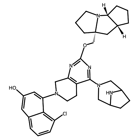 Oc1cc(N2CCc3c(nc(OC[C@]45CCCN4[C@@H]4CCC[C@@H]4C5)nc3N3CC4CCC(C3)N4)C2)c2c(Cl)cccc2c1